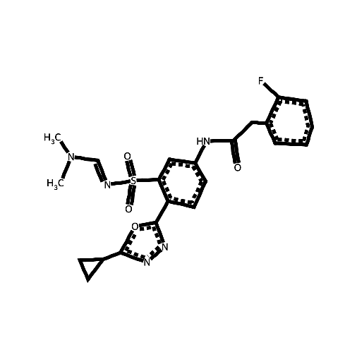 CN(C)C=NS(=O)(=O)c1cc(NC(=O)Cc2ccccc2F)ccc1-c1nnc(C2CC2)o1